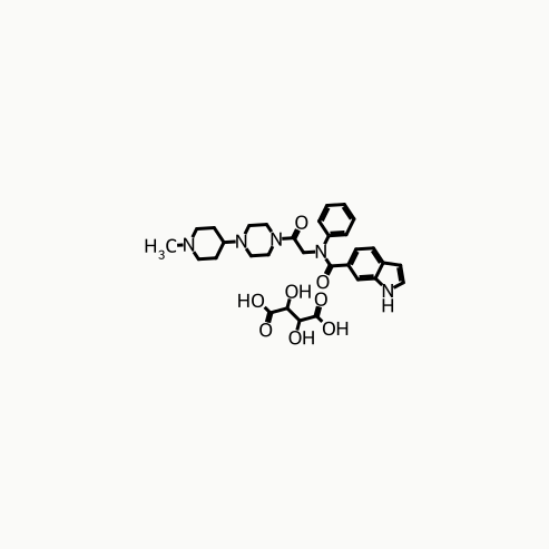 CN1CCC(N2CCN(C(=O)CN(C(=O)c3ccc4cc[nH]c4c3)c3ccccc3)CC2)CC1.O=C(O)C(O)C(O)C(=O)O